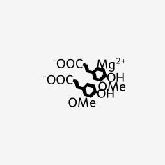 COc1cc(/C=C/C(=O)[O-])ccc1O.COc1cc(/C=C/C(=O)[O-])ccc1O.[Mg+2]